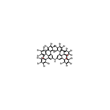 Brc1c(Br)c(Br)c(-c2cc(Nc3cc(-c4c(Br)c(Br)c(Br)c(Br)c4Br)c(-c4c(Br)c(Br)c(Br)c(Br)c4Br)c(-c4c(Br)c(Br)c(Br)c(Br)c4Br)c3)cc(-c3c(Br)c(Br)c(Br)c(Br)c3Br)c2-c2c(Br)c(Br)c(Br)c(Br)c2Br)c(Br)c1Br